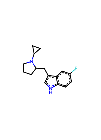 Fc1ccc2[nH]cc(CC3CCCN3C3CC3)c2c1